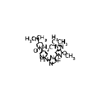 COc1nc(-c2nc(Nc3ccc(N4CC[C@H](N(C)C)CC4=O)cn3)ncc2F)cc2c1nc(C)n2C(C)C